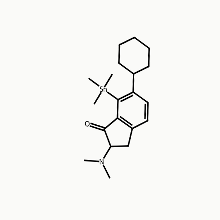 CN(C)C1Cc2ccc(C3CCCCC3)[c]([Sn]([CH3])([CH3])[CH3])c2C1=O